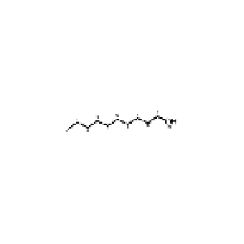 CCCCCCCC[CH]CO